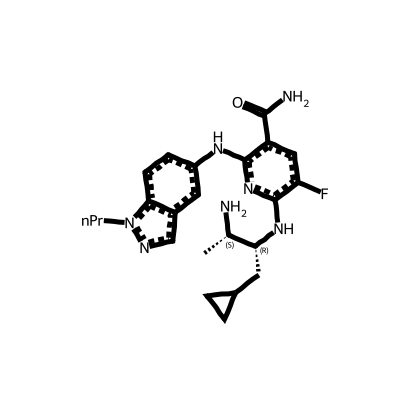 CCCn1ncc2cc(Nc3nc(N[C@H](CC4CC4)[C@H](C)N)c(F)cc3C(N)=O)ccc21